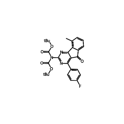 Cc1cccc2c1-c1nc(N(C(=O)OC(C)(C)C)C(=O)OC(C)(C)C)nc(-c3ccc(F)cc3)c1C2=O